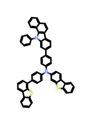 c1ccc(-n2c3cc(-c4ccc(N(c5ccc(-c6cccc7c6sc6ccccc67)cc5)c5ccc6c(c5)sc5ccccc56)cc4)ccc3c3ccc4ccccc4c32)cc1